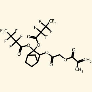 C=C(C)C(=O)OCC(=O)OC1C2CCC(C2)C1(OC(=O)C(F)(F)C(F)(F)C(F)(F)F)OC(=O)C(F)(F)C(F)(F)C(F)(F)F